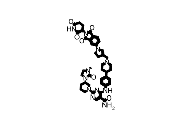 CN1CCN([C@@H]2CCCN(c3ncc(C(N)=O)c(Nc4ccc(C5CCN(CC6CCN(c7ccc8c(c7)C(=O)N(C7CCC(=O)NC7=O)C8=O)C6)CC5)cc4)n3)C2)C1=O